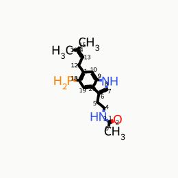 CC(=O)NCCc1c[nH]c2cc(CC=C(C)C)c(P)cc12